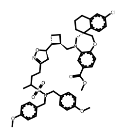 COC(=O)c1ccc2c(c1)N(C[C@@H]1CC[C@H]1[C@H]1CC(CCC(C)S(=O)(=O)N(Cc3ccc(OC)cc3)Cc3ccc(OC)cc3)=NO1)C[C@@]1(CCCc3cc(Cl)ccc31)CO2